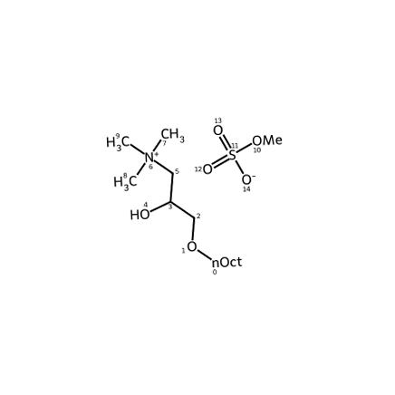 CCCCCCCCOCC(O)C[N+](C)(C)C.COS(=O)(=O)[O-]